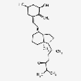 C=C1/C(=C\C=C2CCC[C@@]3(C)C2CC[C@@H]3[C@H](C)CCC(=O)C(C)C)C[C@@H](O)C[C@H]1O